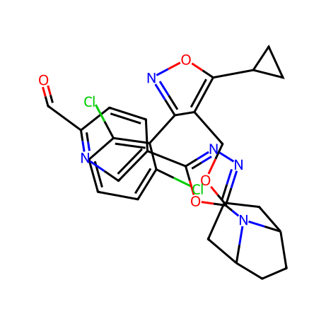 O=Cc1ccc(-c2nnc(N3C4CCC3CC(OCc3c(-c5c(Cl)cccc5Cl)noc3C3CC3)C4)o2)cn1